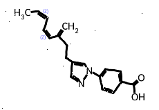 C=C(/C=C\C=C/C)CCc1cnn(-c2ccc(C(=O)O)cc2)c1